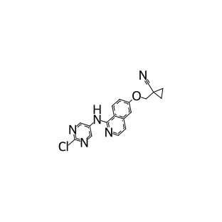 N#CC1(COc2ccc3c(Nc4cnc(Cl)nc4)nccc3c2)CC1